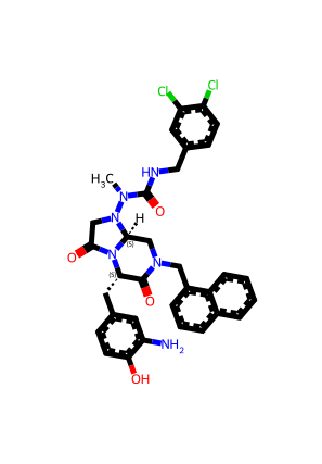 CN(C(=O)NCc1ccc(Cl)c(Cl)c1)N1CC(=O)N2[C@@H](Cc3ccc(O)c(N)c3)C(=O)N(Cc3cccc4ccccc34)C[C@@H]21